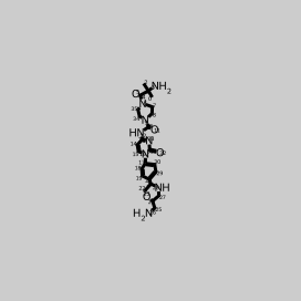 CC(C)(N)C(=O)N1CCN(C(=O)Nc2ccn(-c3ccc(C4COC(CN)CN4)cc3)c(=O)n2)CC1